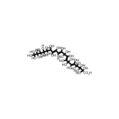 O=C(O)C(O)(O)C(O)(O)C(O)(O)C(O)=C(O)C(O)(O)C(O)=C(O)C(O)(O)C(O)=C(O)C(O)=C(O)C(O)C(O)(O)C(O)(O)C(O)(O)C(O)(O)C(O)(O)O